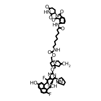 C#Cc1c(F)ccc2cc(O)cc(-c3ncc4c(N5CC6CCC(C5)N6)nc(OCC56CCC(COC(=O)NCCCCCCCC(=O)Nc7cccc8c7C(=O)N(C7CCC(=O)NC7=O)C8=O)N5CC(=C)C6)nc4c3F)c12